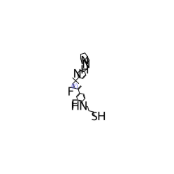 C=C(/C(F)=C\C(C)(C)c1ccc(CN2CC3CCC(C2)N3)cn1)c1ccc(NCCCS)c(F)c1